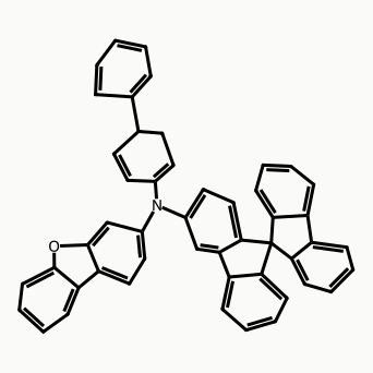 C1=CC(c2ccccc2)CC=C1N(c1ccc2c(c1)-c1ccccc1C21c2ccccc2-c2ccccc21)c1ccc2c(c1)oc1ccccc12